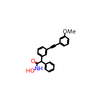 COc1cccc(C#Cc2cccc(C(C(=O)NO)c3ccccc3)c2)c1